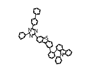 c1ccc(-c2ccc(-c3nc(-c4ccccc4)nc(-c4ccc5c(c4)sc4ccc(-c6ccccc6-c6cccc7c8ccccc8n(-c8ccccc8)c67)cc45)n3)cc2)cc1